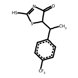 CC(c1ccc(C(F)(F)F)cc1)C1SC(S)=NC1=O